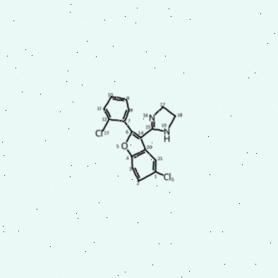 Clc1ccc2oc(-c3ccccc3Cl)c(C3=NCCN3)c2c1